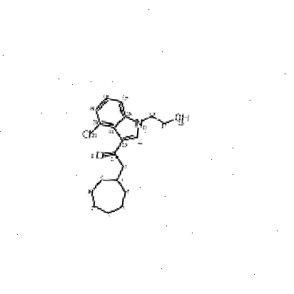 O=C(CC1CCCCCC1)c1cn(CCO)c2cccc(Cl)c12